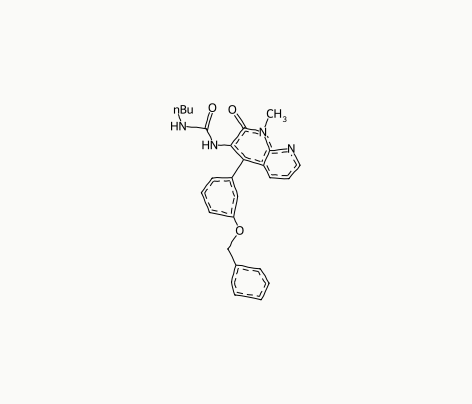 CCCCNC(=O)Nc1c(-c2cccc(OCc3ccccc3)c2)c2cccnc2n(C)c1=O